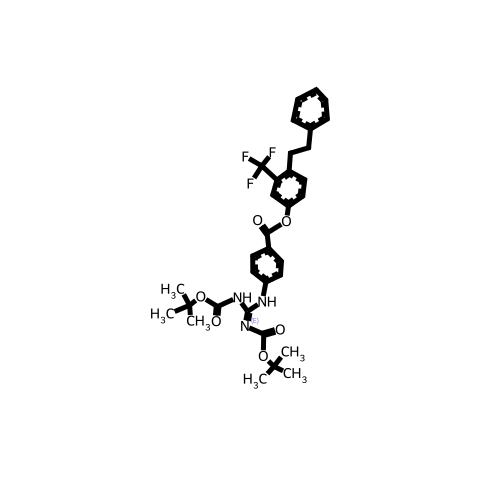 CC(C)(C)OC(=O)/N=C(/NC(=O)OC(C)(C)C)Nc1ccc(C(=O)Oc2ccc(CCc3ccccc3)c(C(F)(F)F)c2)cc1